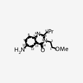 COCCn1c(C(C)C)nc2ccc(N)cc2c1=O